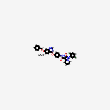 COc1cc2c(Oc3ccc(NC(=O)c4c5n(n(-c6cc(F)ccc6F)c4=O)CCCC5)cc3)ncnc2cc1OCc1ccccc1